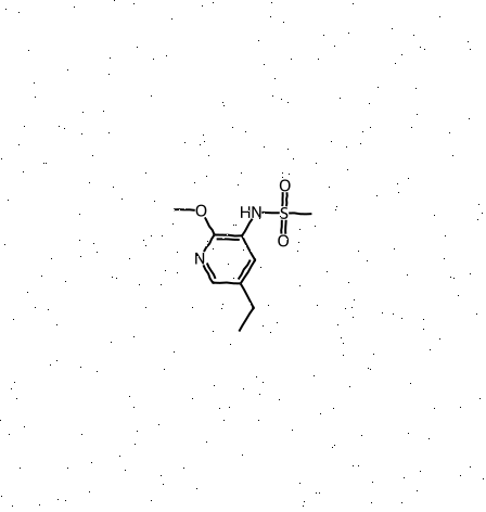 CCc1cnc(OC)c(NS(C)(=O)=O)c1